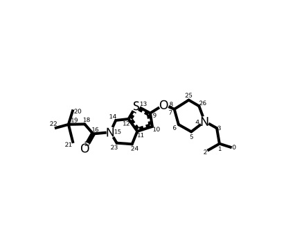 CC(C)CN1CCC(Oc2cc3c(s2)CN(C(=O)CC(C)(C)C)CC3)CC1